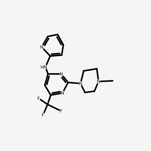 CN1CCN(c2nc(Nc3ccccn3)cc(C(F)(F)F)n2)CC1